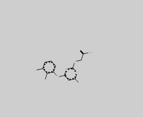 Cc1cccc(Nc2cc(Cl)nc(OCC(=O)O)n2)c1C